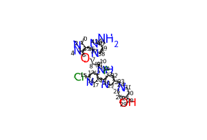 Cc1nn(C)c(OCC[C@H](C)Nc2cc(Cl)ncc2-c2ncc(CN3CCC(C)(O)CC3)cc2F)c1-c1nccc(N)n1